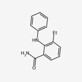 CCc1cccc(C(N)=O)c1Nc1ccccc1